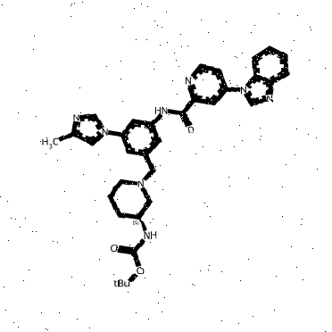 Cc1cn(-c2cc(CN3CCC[C@H](NC(=O)OC(C)(C)C)C3)cc(NC(=O)c3cc(-n4cnc5ccccc54)ccn3)c2)cn1